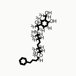 [2H]c1c([2H])c(C([2H])(O)CNC([2H])([2H])C([2H])([2H])CCC([2H])([2H])C([2H])([2H])OC([2H])([2H])CCCc2ccccc2)c([2H])c(C([2H])([2H])O)c1O